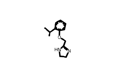 CC(C)c1ccccc1OCC1=NCCN1